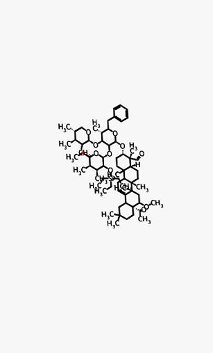 CCC1O[C@@H](OC2[C@H](O[C@H]3CCC4(C)C5CC=C6C7CC(C)(C)CC[C@]7(C(C)=O)C(OC)C[C@@]6(C)[C@@]5(C)CC[C@H]4[C@@]3(C)C=O)OC(Cc3ccccc3)[C@@H](C)[C@@H]2O[C@@H]2OC[C@@H](C)[C@H](C)C2C)C(O[Si](CC)(CC)CC)[C@@H](C)[C@H]1C